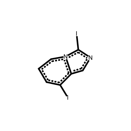 Ic1cccn2c(I)ncc12